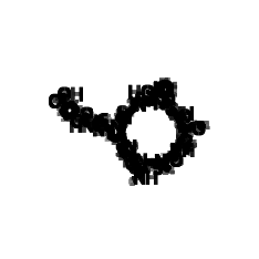 CNC(=O)C[C@@H]1NC(=O)c2csc(n2)-c2ccc(-c3nc(NC(=O)O[C@H]4CC[C@H](C(=O)O)CC4)cs3)nc2-c2csc(n2)-c2csc(n2)[C@H]([C@@H](O)c2ccccc2)NC(=O)CNC(=O)c2nc(sc2COC)[C@H](C(C)C)NC(=O)c2nc1sc2C